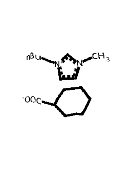 CCCC[n+]1ccn(C)c1.O=C([O-])C1CCCCC1